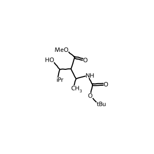 COC(=O)C(C(C)NC(=O)OC(C)(C)C)C(O)C(C)C